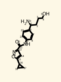 NC(CCCO)c1ccc(NC(=O)c2cc(C3CC3)on2)cc1